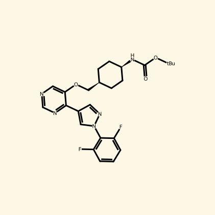 CC(C)(C)OC(=O)N[C@H]1CC[C@@H](COc2cncnc2-c2cnn(-c3c(F)cccc3F)c2)CC1